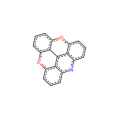 c1cc2oc3cccc4nc5cccc6oc(c1)c2-c(c43)c56